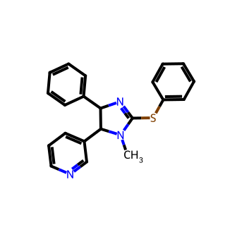 CN1C(Sc2ccccc2)=NC(c2ccccc2)C1c1cccnc1